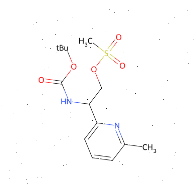 Cc1cccc(C(COS(C)(=O)=O)NC(=O)OC(C)(C)C)n1